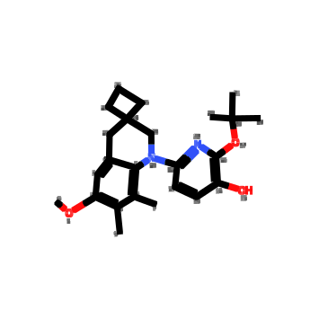 COc1cc2c(c(C)c1C)N(c1ccc(O)c(OC(C)(C)C)n1)CC1(CCC1)C2